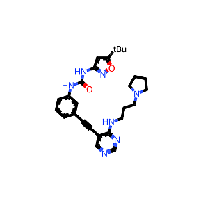 CC(C)(C)c1cc(NC(=O)Nc2cccc(C#Cc3cncnc3NCCCN3CCCC3)c2)no1